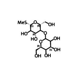 CS[C@@H]1O[C@H](CO)C(OC2O[C@H](CO)C(O)[C@H](O)C2O)[C@H](O)C1O